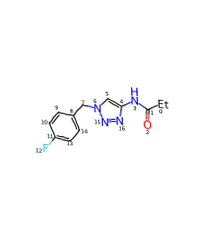 CCC(=O)Nc1cn(Cc2ccc(F)cc2)nn1